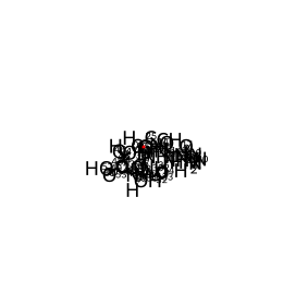 CC(C)C[C@H](NC(=O)[C@@H](NC(=O)[C@@H](N)CNC(=O)c1nnn[nH]1)C(C)C)C(=O)N[C@@H](Cc1ccccc1)[C@@H](O)C(=O)Nc1cc(C(=O)O)cc(C(=O)O)c1